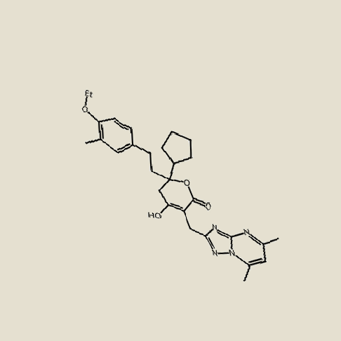 CCOc1ccc(CCC2(C3CCCC3)CC(O)=C(Cc3nc4nc(C)cc(C)n4n3)C(=O)O2)cc1C